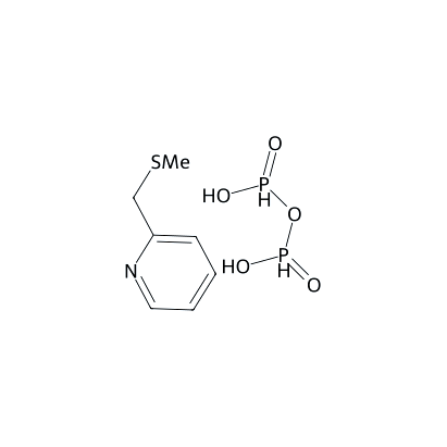 CSCc1ccccn1.O=[PH](O)O[PH](=O)O